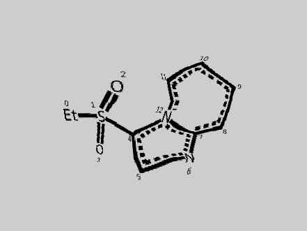 CCS(=O)(=O)c1cnc2ccccn12